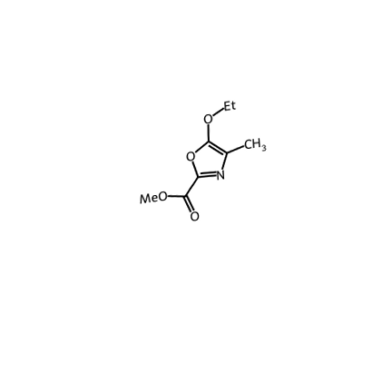 CCOc1oc(C(=O)OC)nc1C